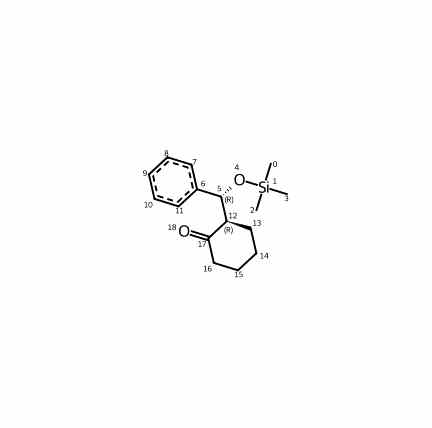 C[Si](C)(C)O[C@@H](c1ccccc1)[C@H]1CCCCC1=O